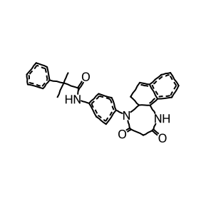 CC(C)(C(=O)Nc1ccc(N2C(=O)CC(=O)NC3=c4ccccc4=CCC32)cc1)c1ccccc1